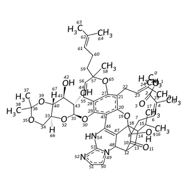 COC(=O)/C(C)=C\CC1(O)C(=O)C2CC(C(C)C)C13Oc1c(CC=C(C)C)c4c(c(O[C@H]5O[C@H]6COC(C)(C)O[C@@H]6[C@@H](O)[C@@H]5O)c1C1=C3C2n2ccnc2N1)C=CC(C)(CCC=C(C)C)O4